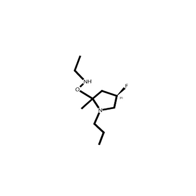 CCCN1C[C@H](F)CC1(C)ONCC